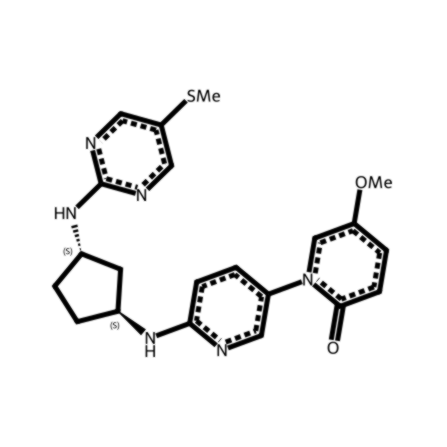 COc1ccc(=O)n(-c2ccc(N[C@H]3CC[C@H](Nc4ncc(SC)cn4)C3)nc2)c1